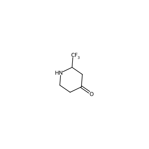 O=C1CCNC(C(F)(F)F)C1